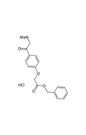 CNCC(=O)c1ccc(OCC(=O)OCc2ccccc2)cc1.Cl